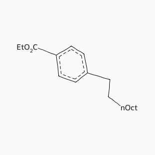 CCCCCCCCCCc1ccc(C(=O)OCC)cc1